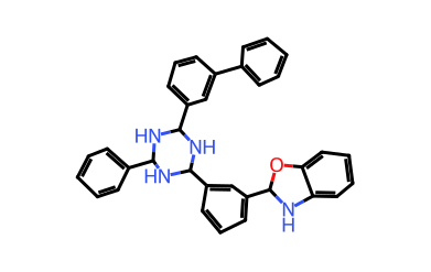 c1ccc(-c2cccc(C3NC(c4ccccc4)NC(c4cccc(C5Nc6ccccc6O5)c4)N3)c2)cc1